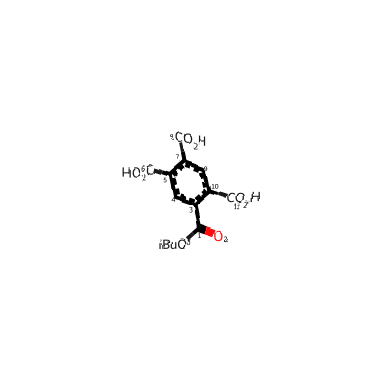 CC(C)COC(=O)c1cc(C(=O)O)c(C(=O)O)cc1C(=O)O